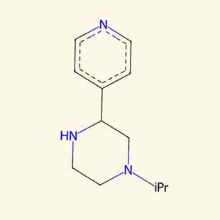 CC(C)N1CCNC(c2ccncc2)C1